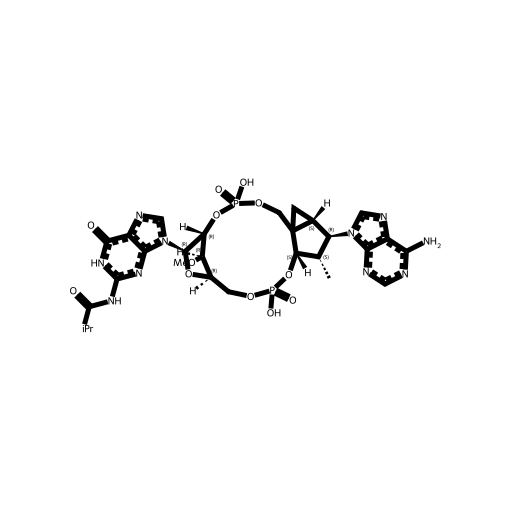 CO[C@H]1[C@H]2OP(=O)(O)OCC34C[C@@H]3[C@@H](n3cnc5c(N)ncnc53)[C@H](C)[C@@H]4OP(=O)(O)OC[C@H]1O[C@H]2n1cnc2c(=O)[nH]c(NC(=O)C(C)C)nc21